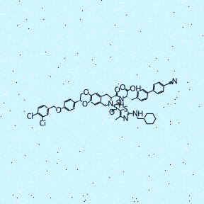 Cc1nc(NCC2CCCCC2)sc1S(=O)(=O)N1Cc2cc3c(cc2C[C@H]1C(=O)N[C@@H](Cc1ccc(-c2ccc(C#N)cc2)cc1)C(=O)O)OC[C@H](c1ccc(OCc2ccc(Cl)c(Cl)c2)cc1)O3